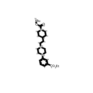 CCOC(=O)c1cccc(N2CCN(CCC3CCN(C(=O)OC(C)(C)C)CC3)CC2)c1